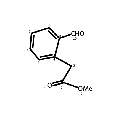 COC(=O)Cc1ccccc1C=O